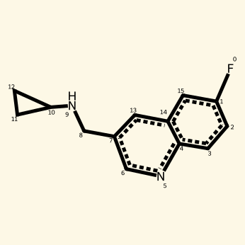 Fc1ccc2ncc(CNC3CC3)cc2c1